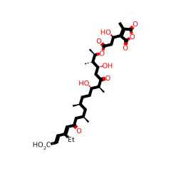 CCC(/C=C/C(=O)O)=C\C(=O)C[C@H](C)C[C@@H](C)CC[C@H](O)[C@H](C)C(=O)C[C@@H](O)[C@H](C)[C@@H](C)OC(=O)C[C@@H](O)C1=C(C)C(=O)OC1=O